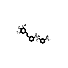 COc1cc(C=Cc2cccc(NS(=O)(=O)c3cccc([N+](=O)[O-])c3)c2)cc(OC)c1OC